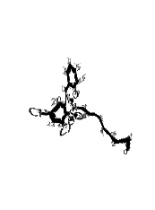 CCCCCCCCN1C(=O)N(Cc2ccccc2)c2cc(Cl)cc(Cl)c2S1(=O)=O